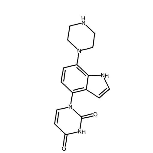 O=c1ccn(-c2ccc(N3CCNCC3)c3[nH]ccc23)c(=O)[nH]1